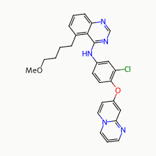 COCCCCc1cccc2ncnc(Nc3ccc(OC4=CC5=NC=C=CN5C=C4)c(Cl)c3)c12